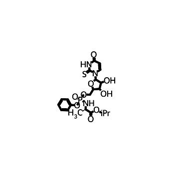 CC(C)OC(=O)[C@H](C)NP(=O)(OCC1OC(n2ccc(=O)[nH]c2=S)C(O)C1O)Oc1ccccc1